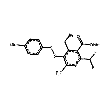 COC(=O)c1c(C(F)F)nc(C(F)(F)F)c(SSc2ccc(C(C)(C)C)cc2)c1CC(C)C